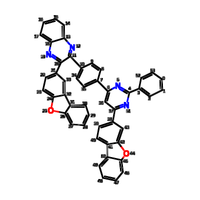 c1ccc(-c2nc(-c3ccc(-c4nc5ccccc5nc4-c4ccc5oc6ccccc6c5c4)cc3)cc(-c3ccc4c(c3)oc3ccccc34)n2)cc1